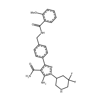 COc1ccccc1C(=O)NCc1ccc(-c2nn(C3CNCC(F)(F)C3)c(N)c2C(N)=O)cc1